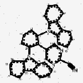 N#Cc1ncc(-c2c(-n3c4ccccc4c4ccccc43)cccc2-n2c3ccccc3c3ccccc32)cn1